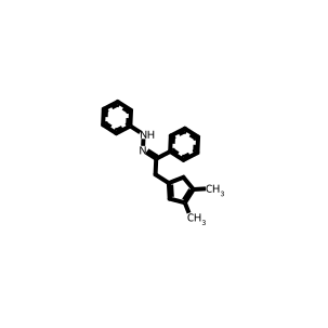 CC1=C(C)CC(CC(=NNc2ccccc2)c2ccccc2)=C1